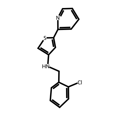 Clc1ccccc1CNc1csc(-c2ccccn2)c1